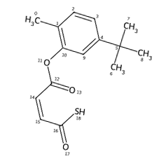 Cc1ccc(C(C)(C)C)cc1OC(=O)/C=C\C(=O)S